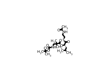 CC(=O)NCCSC(=O)[C@H](CC(C)C)OC(=O)C(C)(C)CNC(=O)OC(C)(C)C